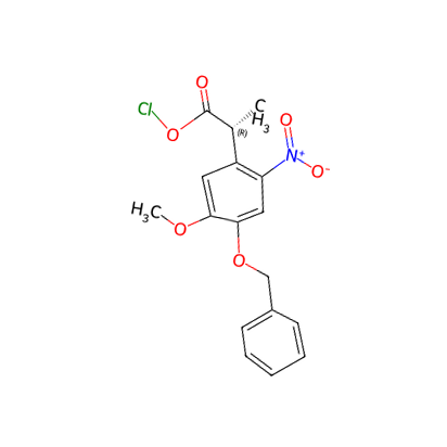 COc1cc([C@@H](C)C(=O)OCl)c([N+](=O)[O-])cc1OCc1ccccc1